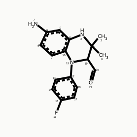 CC1(C)Nc2cc(N)ccc2N(c2ccc(F)cc2)C1C=O